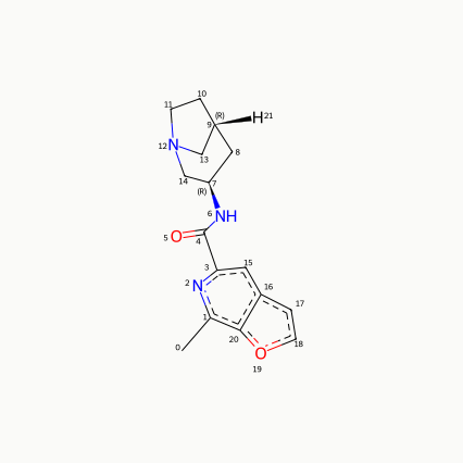 Cc1nc(C(=O)N[C@@H]2C[C@H]3CCN(C3)C2)cc2ccoc12